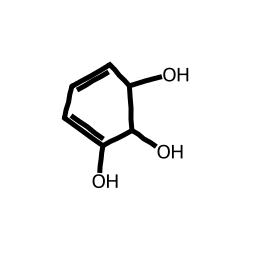 OC1=CC=CC(O)C1O